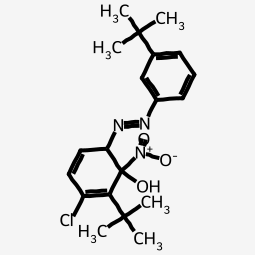 CC(C)(C)C1=C(Cl)C=CC(N=Nc2cccc(C(C)(C)C)c2)C1(O)[N+](=O)[O-]